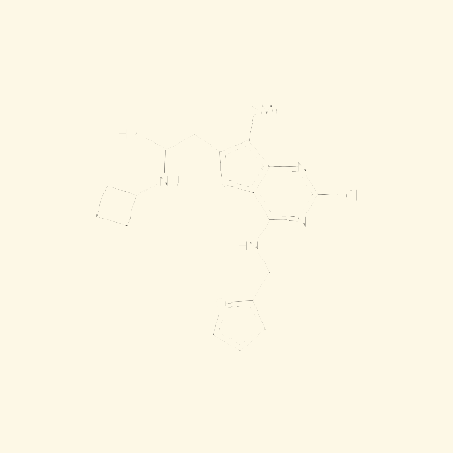 CSc1c(CC(C)NC2CCC2)sc2c(NCc3ccco3)nc(Cl)nc12